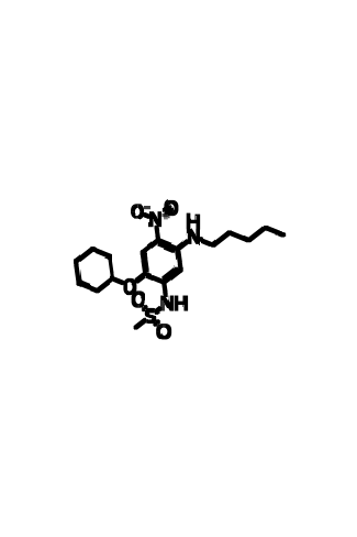 CCCCCNc1cc(NS(C)(=O)=O)c(OC2CCCCC2)cc1[N+](=O)[O-]